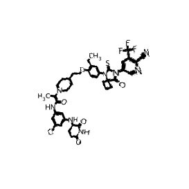 CCc1cc(N2C(=S)N(c3cnc(C#N)c(C(F)(F)F)c3)C(=O)C23CCC3)ccc1OCCC1CCN(C(C)C(=O)Nc2cc(Cl)cc(NC3CCC(=O)NC3=O)c2)CC1